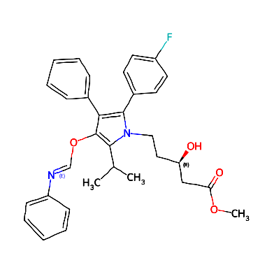 COC(=O)C[C@H](O)CCn1c(-c2ccc(F)cc2)c(-c2ccccc2)c(O/C=N/c2ccccc2)c1C(C)C